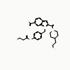 N=C(N)c1ccc2cc(C(=O)N3CCC(CCN)CC3)n(Cc3ccc(NC(=O)CCN)cc3)c2c1